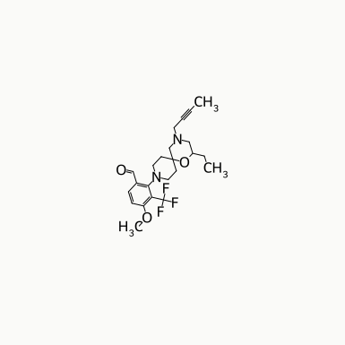 CC#CCN1CC(CC)OC2(CCN(c3c(C=O)ccc(OC)c3C(F)(F)F)CC2)C1